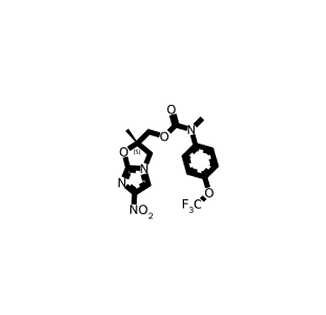 CN(C(=O)OC[C@]1(C)Cn2cc([N+](=O)[O-])nc2O1)c1ccc(OC(F)(F)F)cc1